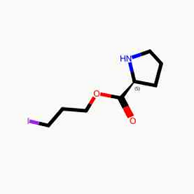 O=C(OCCCI)[C@@H]1CCCN1